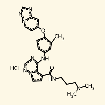 Cc1cc(Nc2ncnn3ccc(C(=O)NCCCN(C)C)c23)ccc1Oc1ccn2ncnc2c1.Cl